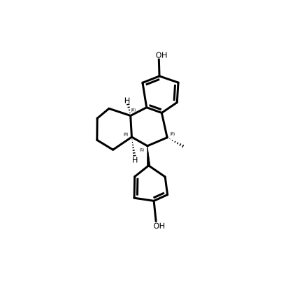 C[C@H]1c2ccc(O)cc2[C@@H]2CCCC[C@@H]2[C@@H]1C1C=CC(O)=CC1